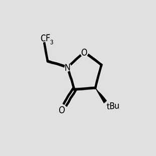 CC(C)(C)[C@@H]1CON(CC(F)(F)F)C1=O